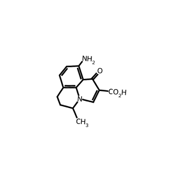 CC1CCc2ccc(N)c3c(=O)c(C(=O)O)cn1c23